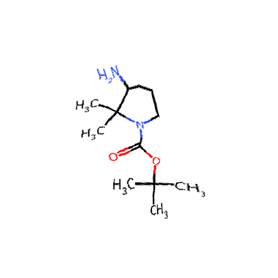 CC(C)(C)OC(=O)N1CCC(N)C1(C)C